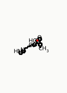 CC1C=C(C(C(=O)O)N2CCC(OCCCCc3ccc4c(n3)NCCC4)C2)C(C2CCOCC2)=CC1